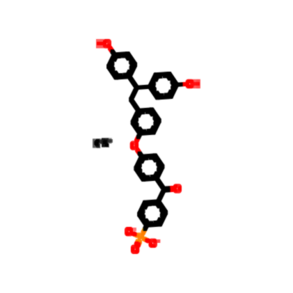 O=C(c1ccc(Oc2cccc(CC(c3ccc(O)cc3)c3ccc(O)cc3)c2)cc1)c1ccc(P(=O)([O-])[O-])cc1.[K+].[K+]